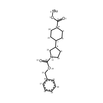 CC(C)(C)OC(=O)N1CCC(C2CCN(C(=O)OCc3ccccc3)C2)CC1